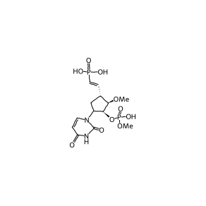 CO[C@@H]1[C@@H](/C=C/P(=O)(O)O)CC(n2ccc(=O)[nH]c2=O)[C@@H]1OP(=O)(O)OC